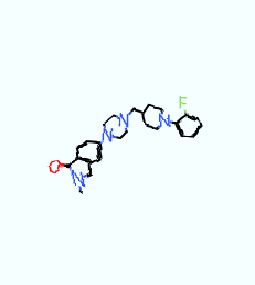 CN1Cc2cc(N3CCN(CC4CCN(c5ccccc5F)CC4)CC3)ccc2C1=O